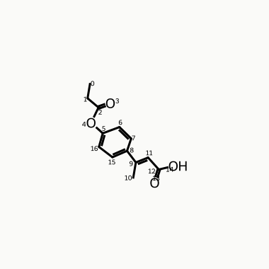 CCC(=O)Oc1ccc(C(C)=CC(=O)O)cc1